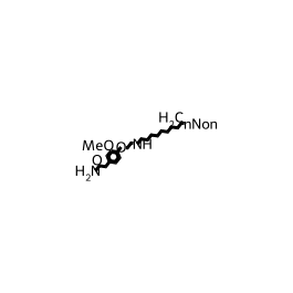 C=C(CCCCCCCCC)CCCCCCCCNCCOc1ccc(CC(N)=O)cc1OC